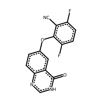 N#Cc1c(F)ccc(F)c1Oc1ccc2nc[nH]c(=O)c2c1